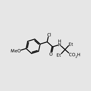 CCC(CC)(NC(=O)C(Cl)c1ccc(OC)cc1)C(=O)O